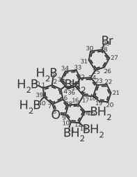 Bc1c(B)c(B)c2c(oc3c(B)c(B)c(B)c(-c4c5ccccc5c(-c5ccc(Br)cc5)c5ccccc45)c32)c1B